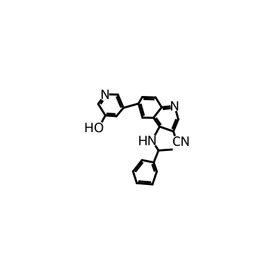 CC(Nc1c(C#N)cnc2ccc(-c3cncc(O)c3)cc12)c1ccccc1